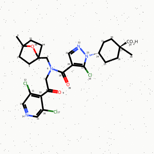 CC12CCC(CN(CC(=O)c3c(Cl)cncc3Cl)C(=O)c3cnn([C@H]4CC[C@](C)(C(=O)O)CC4)c3Cl)(CC1)O2